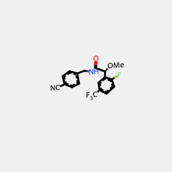 CO[C@H](C(=O)NCc1ccc(C#N)cc1)c1cc(C(F)(F)F)ccc1F